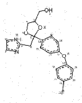 OCC1COC(Cc2ncc[nH]2)(c2ccc(Oc3ccc(F)cc3)cc2)O1